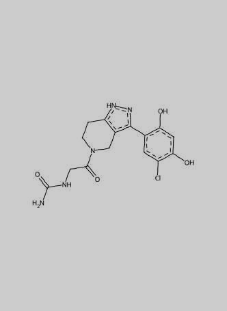 NC(=O)NCC(=O)N1CCc2[nH]nc(-c3cc(Cl)c(O)cc3O)c2C1